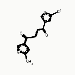 Cc1cc(C(=O)CCC(=O)c2csc(Cl)c2)cs1